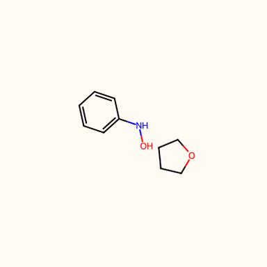 C1CCOC1.ONc1ccccc1